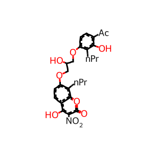 CCCc1c(OCC(O)COc2ccc3c(O)c([N+](=O)[O-])c(=O)oc3c2CCC)ccc(C(C)=O)c1O